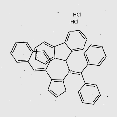 C1=CC(c2ccc3ccccc3c2)=[C]([Zr](=[C](c2ccccc2)c2ccccc2)[CH]2c3ccccc3-c3ccccc32)C1.Cl.Cl